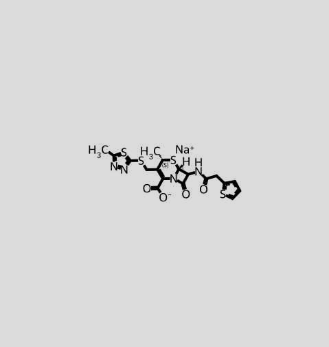 Cc1nnc(SCC2=C(C(=O)[O-])N3C(=O)C(NC(=O)Cc4cccs4)[C@H]3S[C@H]2C)s1.[Na+]